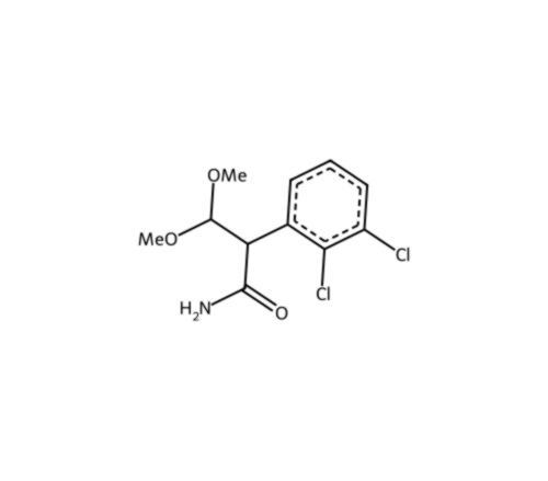 COC(OC)C(C(N)=O)c1cccc(Cl)c1Cl